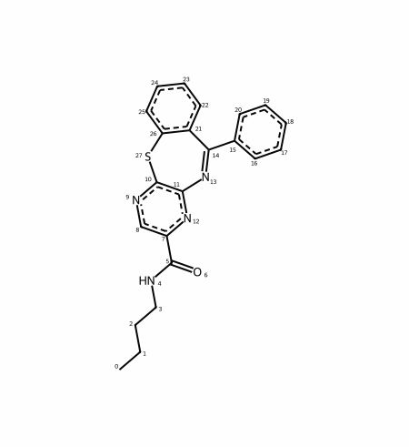 CCCCNC(=O)c1cnc2c(n1)N=C(c1ccccc1)c1ccccc1S2